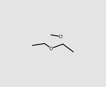 CCOCC.CCl